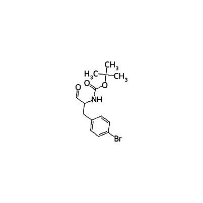 CC(C)(C)OC(=O)NC(C=O)Cc1ccc(Br)cc1